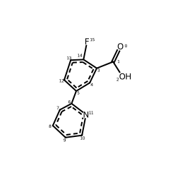 O=C(O)c1cc(-c2ccccn2)ccc1F